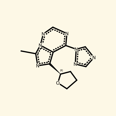 Cc1nc([C@H]2CCCO2)c2c(-n3cncn3)ncnn12